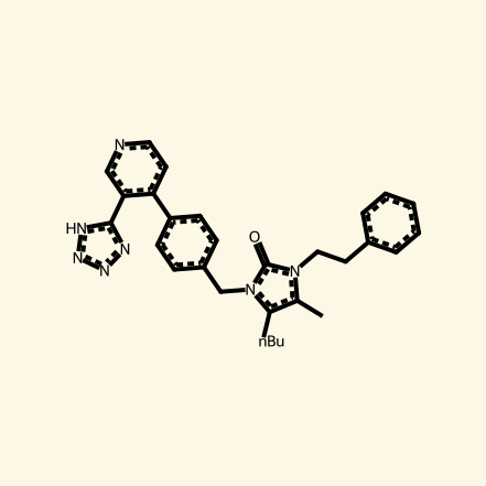 CCCCc1c(C)n(CCc2ccccc2)c(=O)n1Cc1ccc(-c2ccncc2-c2nnn[nH]2)cc1